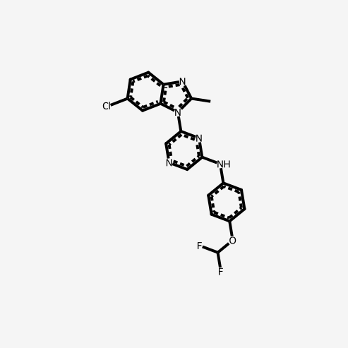 Cc1nc2ccc(Cl)cc2n1-c1cncc(Nc2ccc(OC(F)F)cc2)n1